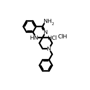 Cl.Cl.NC1=NC2(CCN(Cc3ccccc3)CC2)Nc2ccccc21